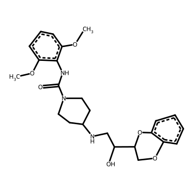 COc1cccc(OC)c1NC(=O)N1CCC(NCC(O)C2COc3ccccc3O2)CC1